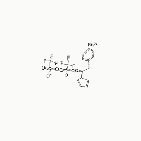 O=C(Cc1ccccc1)C1C=CC=C1.O=S(=O)([O-])C(F)(F)F.O=S(=O)([O-])C(F)(F)F.[Ru+2]